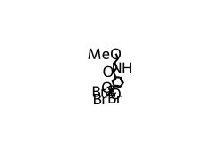 COCCNC(=O)c1cccc(S(=O)(=O)C(Br)(Br)Br)c1